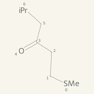 CSCCC(=O)CC(C)C